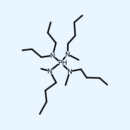 CCCCN(C)[PH](N(C)CCCC)(N(C)CCCC)N(CCC)CCC